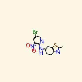 Cc1nc2c(s1)C[C@@H](Nc1ncc(Br)cc1[N+](=O)[O-])CC2